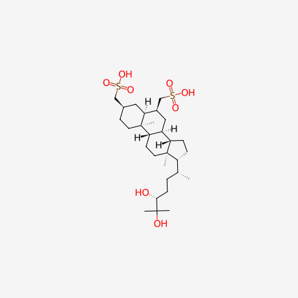 C[C@H](CC[C@@H](O)C(C)(C)O)[C@H]1CC[C@H]2[C@@H]3C[C@H](CS(=O)(=O)O)[C@@H]4C[C@H](CS(=O)(=O)O)CC[C@]4(C)[C@H]3CC[C@]12C